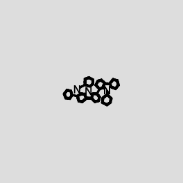 N#Cc1ccccc1-n1c2cc(-c3ccccc3)ccc2c2cccc(-c3cccc4c5ccccc5n(-c5ccccc5)c34)c21